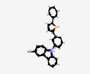 Brc1ccc2c(c1)c1ccccc1n2-c1cccc(-c2ccc(-c3ccccc3)s2)c1